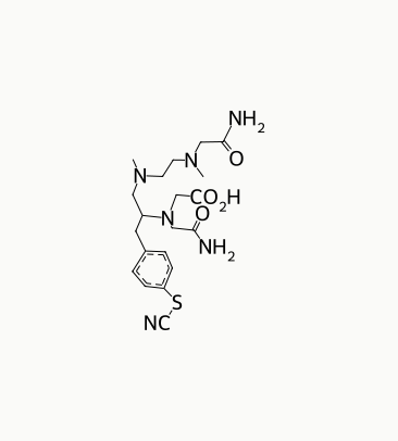 CN(CCN(C)CC(Cc1ccc(SC#N)cc1)N(CC(N)=O)CC(=O)O)CC(N)=O